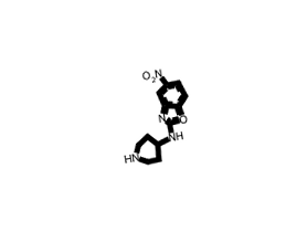 O=[N+]([O-])c1ccc2oc(NC3CCNCC3)nc2c1